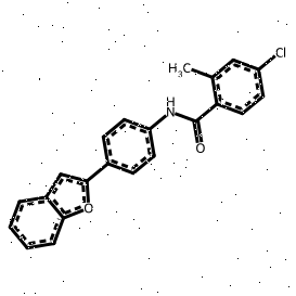 Cc1cc(Cl)ccc1C(=O)Nc1ccc(-c2cc3ccccc3o2)cc1